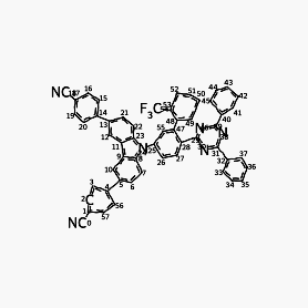 N#Cc1ccc(-c2ccc3c(c2)c2cc(-c4ccc(C#N)cc4)ccc2n3-c2ccc(-c3nc(-c4ccccc4)nc(-c4ccccc4)n3)c(-c3ccccc3C(F)(F)F)c2)cc1